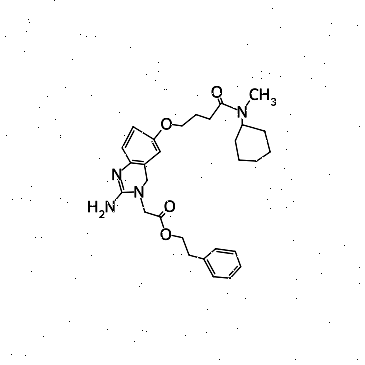 CN(C(=O)CCCOc1ccc2c(c1)CN(CC(=O)OCCc1ccccc1)C(N)=N2)C1CCCCC1